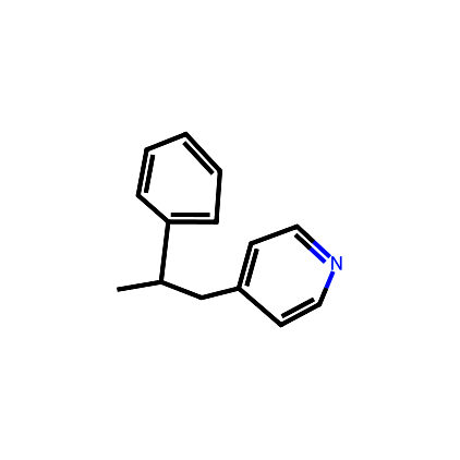 CC(Cc1ccncc1)c1ccccc1